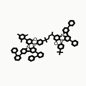 Cc1cc(C)c(-c2cc3c4c(c2)-n2c5ccc(-c6ccccc6-c6ccccc6)cc5c5cc(-c6ccccc6-c6ccccc6)cc(c52)B4c2ccc(C(C)(C)CCC(C)c4cc5c6c(c4)-n4c7ccc(-c8ccccc8)cc7c7cc(-c8ccccc8)cc(c74)B6c4ccc(C(C)(C)C)cc4O5)cc2O3)c(C)c1